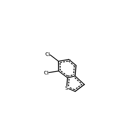 Clc1[c]cc2ccsc2c1Cl